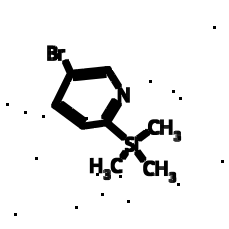 C[Si](C)(C)c1ccc(Br)cn1